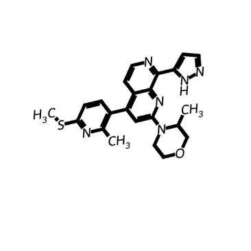 CSc1ccc(-c2cc(N3CCOCC3C)nc3c(-c4ccn[nH]4)nccc23)c(C)n1